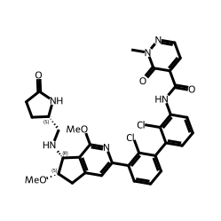 COc1nc(-c2cccc(-c3cccc(NC(=O)c4ccnn(C)c4=O)c3Cl)c2Cl)cc2c1[C@@H](NC[C@@H]1CCC(=O)N1)[C@@H](OC)C2